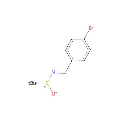 CC(C)(C)[S@@+]([O-])N=Cc1ccc(Br)cc1